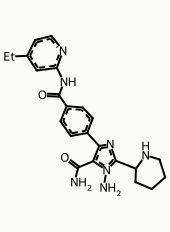 CCc1ccnc(NC(=O)c2ccc(-c3nc(C4CCCCN4)n(N)c3C(N)=O)cc2)c1